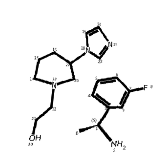 C[C@H](N)c1cccc(F)c1.OCCN1CCCC(n2ccnc2)C1